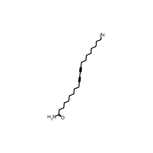 CC(=O)CCCCCCCCC#CC#CCCCCCCCCC(N)=O